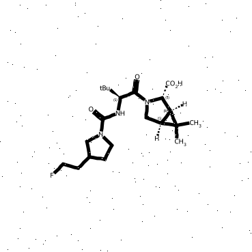 CC(C)(C)[C@H](NC(=O)N1CCC(CCF)C1)C(=O)N1C[C@H]2[C@@H]([C@H]1C(=O)O)C2(C)C